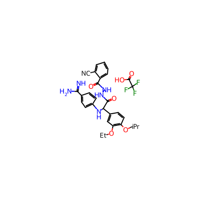 CCOc1cc(C(Nc2ccc(C(=N)N)cc2)C(=O)NNC(=O)c2ccccc2C#N)ccc1OC(C)C.O=C(O)C(F)(F)F